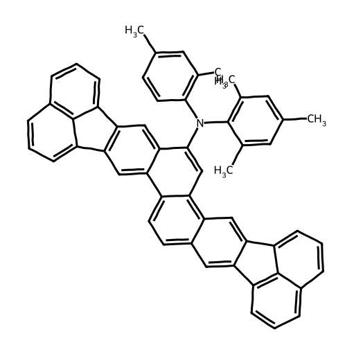 Cc1ccc(N(c2c(C)cc(C)cc2C)c2cc3c4cc5c(cc4ccc3c3cc4c(cc23)-c2cccc3cccc-4c23)-c2cccc3cccc-5c23)c(C)c1